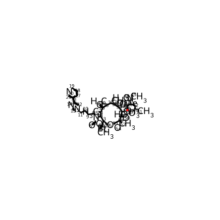 C/C=C/C12OC(=O)N(CCCCn3cnc(-c4cccnc4)c3)C1C(C)C(=O)C(C)CC(C)(OC)C(O[C@H]1C(O)O[C@H](C)C[C@@H]1N(C)C)C(C)C(=O)C(C)C(=O)OC2CC